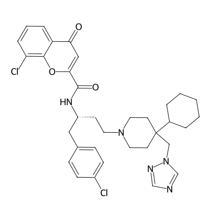 O=C(N[C@H](CCN1CCC(Cn2cncn2)(C2CCCCC2)CC1)Cc1ccc(Cl)cc1)c1cc(=O)c2cccc(Cl)c2o1